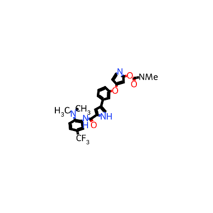 CNC(=O)Oc1cc(Oc2cccc(-c3c[nH]c(C(=O)Nc4cc(C(F)(F)F)ccc4N(C)C)c3)c2)ccn1